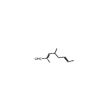 CC=CCC(C)C=C(C)C=O